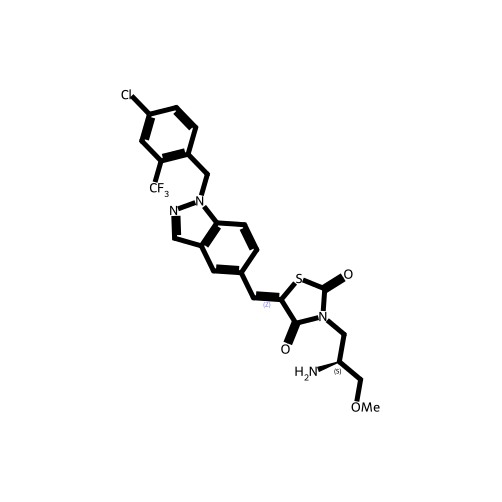 COC[C@@H](N)CN1C(=O)S/C(=C\c2ccc3c(cnn3Cc3ccc(Cl)cc3C(F)(F)F)c2)C1=O